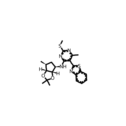 CSc1nc(C)c(-c2nc3ccccc3s2)c(N[C@@H]2C[C@H](C)[C@H]3OC(C)(C)O[C@H]32)n1